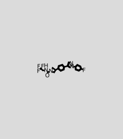 O=C(NCC(F)(F)F)N1CC(c2ccc(-c3cnn(-c4ccc(F)cc4)c3)cc2)C1